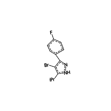 CC(C)c1[nH]nc(-c2ccc(F)cc2)c1Br